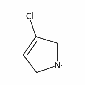 ClC1=CC[N]C1